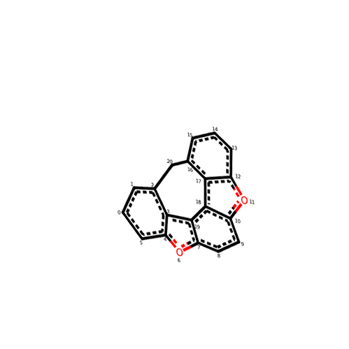 c1cc2c3c(c1)oc1ccc4oc5cccc(c5c4c13)C2